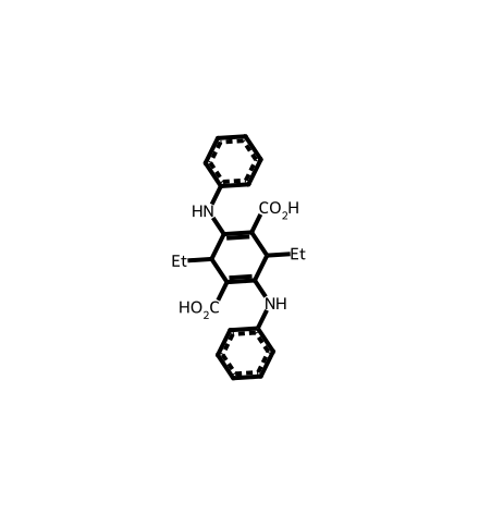 CCC1C(Nc2ccccc2)=C(C(=O)O)C(CC)C(Nc2ccccc2)=C1C(=O)O